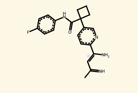 CC(=N)/C=C(\N)c1ccc(C2(C(=O)Nc3ccc(F)cc3)CCC2)cn1